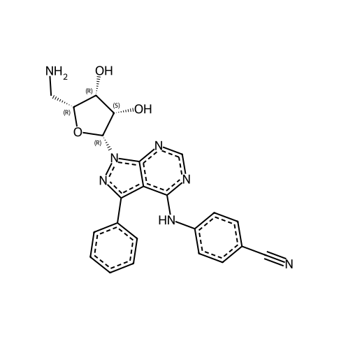 N#Cc1ccc(Nc2ncnc3c2c(-c2ccccc2)nn3[C@@H]2O[C@H](CN)[C@H](O)[C@@H]2O)cc1